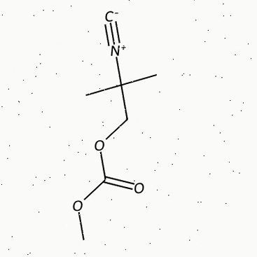 [C-]#[N+]C(C)(C)COC(=O)OC